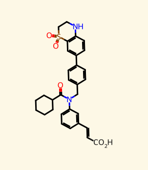 O=C(O)C=Cc1cccc(N(Cc2ccc(-c3ccc4c(c3)S(=O)(=O)CCN4)cc2)C(=O)C2CCCCC2)c1